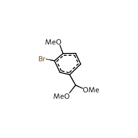 COc1ccc(C(OC)OC)cc1Br